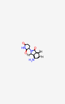 [2H]c1cc(N)c2c(c1[2H])C(=O)N(C1CCC(=O)NC1=O)C2[2H]